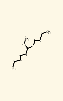 CCCCOC(O[SiH2])OCCCC